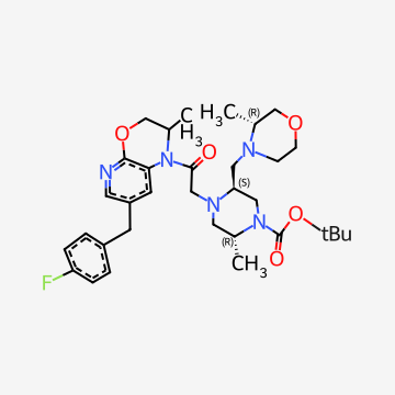 CC1COc2ncc(Cc3ccc(F)cc3)cc2N1C(=O)CN1C[C@@H](C)N(C(=O)OC(C)(C)C)C[C@@H]1CN1CCOC[C@H]1C